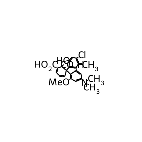 COc1cc(N(C)C)ccc1C1(c2cc(C)c(Cl)cc2O)C=CC=C(C(=O)O)C1C(=O)O